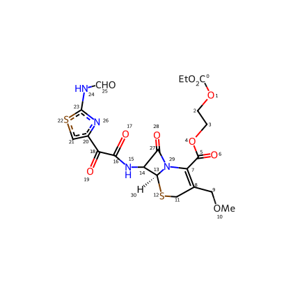 CCOC(=O)OCCOC(=O)C1=C(COC)CS[C@H]2C(NC(=O)C(=O)c3csc(NC=O)n3)C(=O)N12